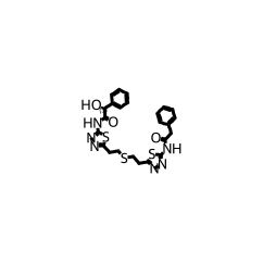 O=C(Cc1ccccc1)Nc1nnc(CCSCCc2nnc(NC(=O)[C@@H](O)c3ccccc3)s2)s1